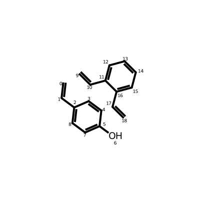 C=Cc1ccc(O)cc1.C=Cc1ccccc1C=C